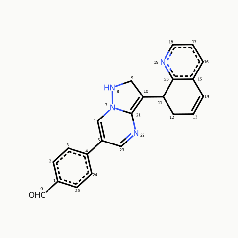 O=Cc1ccc(C2=CN3NCC(C4CC=Cc5cccnc54)=C3N=C2)cc1